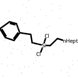 CCCCCCCCC[Si](Cl)(Cl)CCc1ccccc1